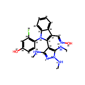 CNc1nn(NC)c(NC)c1-c1c(C=NO)c2ccccc2n1-c1ccc(O)cc1F